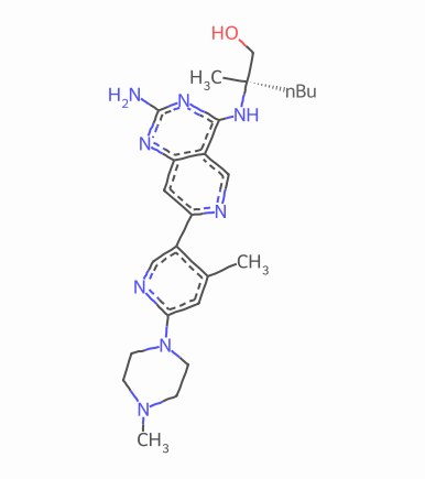 CCCC[C@](C)(CO)Nc1nc(N)nc2cc(-c3cnc(N4CCN(C)CC4)cc3C)ncc12